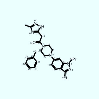 CCc1nn(C(C)C)c2cc(N3CCN(C(=O)Cc4nc(C)n[nH]4)[C@@H](Cc4ccccc4)C3)ccc12